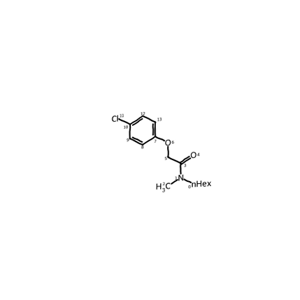 [CH2]CCCCCN(C)C(=O)COc1ccc(Cl)cc1